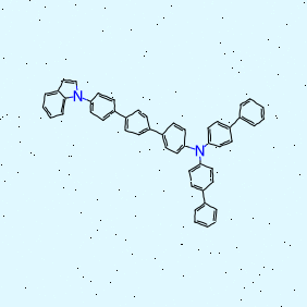 c1ccc(-c2ccc(N(c3ccc(-c4ccccc4)cc3)c3ccc(-c4ccc(-c5ccc(-n6ccc7ccccc76)cc5)cc4)cc3)cc2)cc1